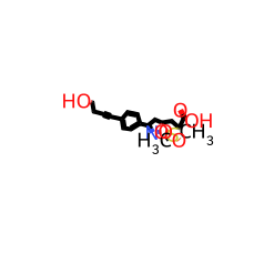 CC(CC1CC(c2ccc(C#CCCO)cc2)=NO1)(C(=O)O)S(C)(=O)=O